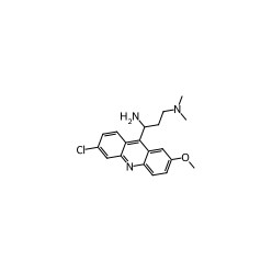 COc1ccc2nc3cc(Cl)ccc3c(C(N)CCN(C)C)c2c1